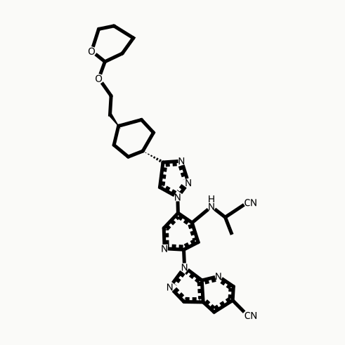 CC(C#N)Nc1cc(-n2ncc3cc(C#N)cnc32)ncc1-n1cc([C@H]2CC[C@H](CCOC3CCCCO3)CC2)nn1